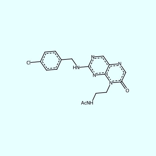 CC(=O)NCCn1c(=O)cnc2cnc(NCc3ccc(Cl)cc3)nc21